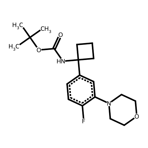 CC(C)(C)OC(=O)NC1(c2ccc(F)c(N3CCOCC3)c2)CCC1